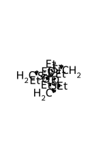 C=C[Si](CC)(CC)OP(O[Si](C=C)(CC)CC)O[Si](C=C)(CC)CC